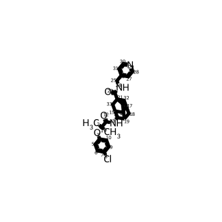 CC(C)(Oc1ccc(Cl)cc1)C(=O)NC1C2CC3CC1CC(C(=O)NCc1ccncc1)(C3)C2